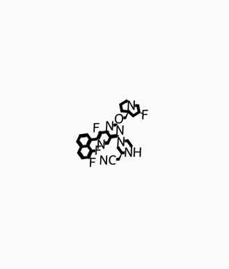 N#CC[C@H]1CN(c2nc(OC[C@@]34CCCN3C[C@H](F)C4)nc3c(F)c(-c4cccc5ccc(F)c(F)c45)ncc23)CCN1